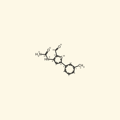 Cc1cccc(-c2cc(NC(N)=O)c(C=O)s2)c1